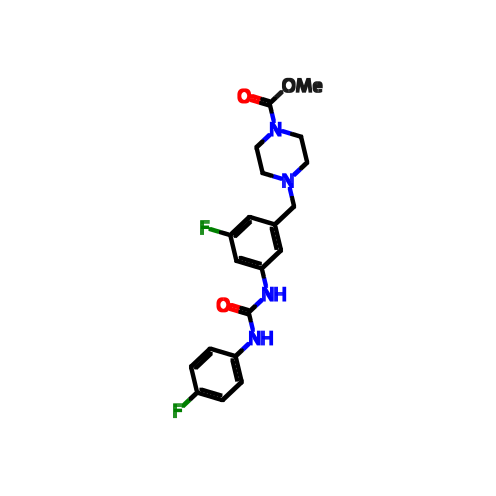 COC(=O)N1CCN(Cc2cc(F)cc(NC(=O)Nc3ccc(F)cc3)c2)CC1